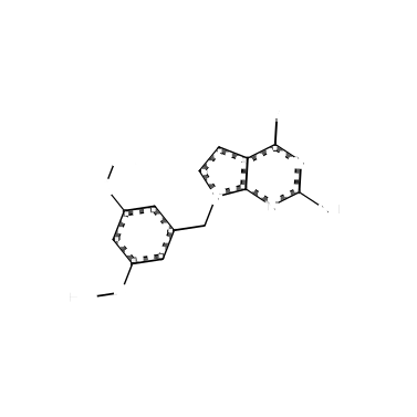 COc1cc(Cn2ccc3c(Br)nc(N)nc32)cc(OC)c1